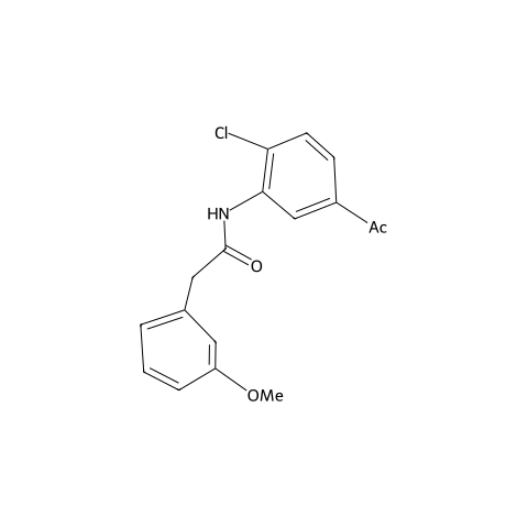 COc1cccc(CC(=O)Nc2cc(C(C)=O)ccc2Cl)c1